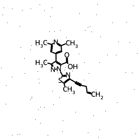 C=CCC#Cc1nc(-n2nc(C)c(-c3cc(C)nc(C)c3)c2C(=O)O)sc1C